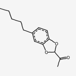 CCCCCc1ccc2c(c1)OC(C(C)=O)O2